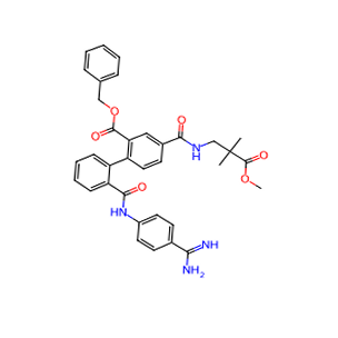 COC(=O)C(C)(C)CNC(=O)c1ccc(-c2ccccc2C(=O)Nc2ccc(C(=N)N)cc2)c(C(=O)OCc2ccccc2)c1